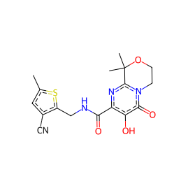 Cc1cc(C#N)c(CNC(=O)c2nc3n(c(=O)c2O)CCOC3(C)C)s1